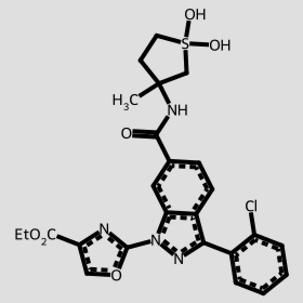 CCOC(=O)c1coc(-n2nc(-c3ccccc3Cl)c3ccc(C(=O)NC4(C)CCS(O)(O)C4)cc32)n1